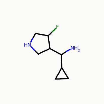 NC(C1CC1)C1CNCC1F